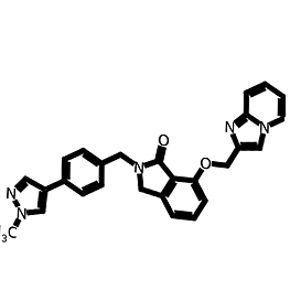 Cn1cc(-c2ccc(CN3Cc4cccc(OCc5cn6ccccc6n5)c4C3=O)cc2)cn1